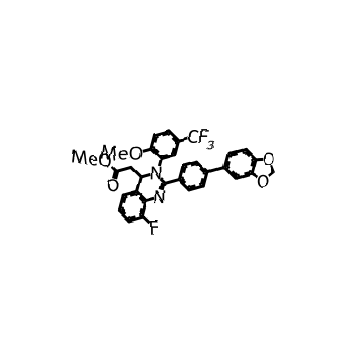 COC(=O)CC1c2cccc(F)c2N=C(c2ccc(-c3ccc4c(c3)OCO4)cc2)N1c1cc(C(F)(F)F)ccc1OC